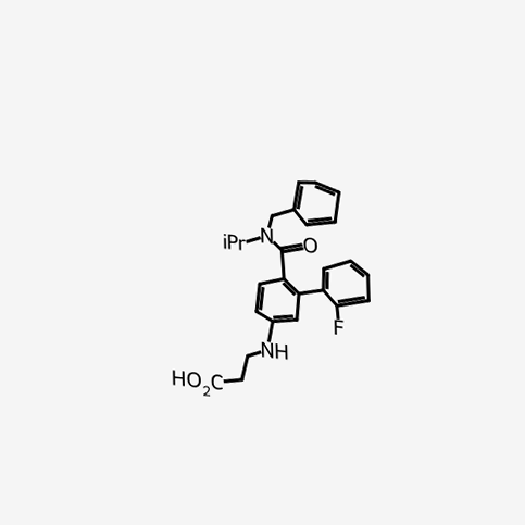 CC(C)N(Cc1ccccc1)C(=O)c1ccc(NCCC(=O)O)cc1-c1ccccc1F